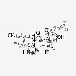 O=C(NCc1cc(Cl)ccc1-c1nnn[nH]1)[C@@H]1C[C@@H]2C[C@@H]2N1C(=O)[C@H](O)CC1CC1